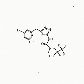 Cc1cc(F)cc(Cc2nnc(NC(=O)N(C)C[C@@](C)(O)C(F)(F)F)s2)c1